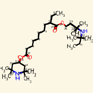 CCC(CCCCCCCC(=O)OC1CC(C)(C)NC(C)(C)C1)C(=O)OCCC(C)(C)NC(C)(C)CC